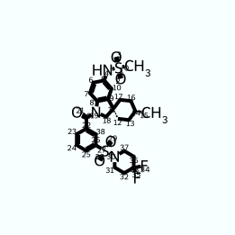 CS(=O)(=O)Nc1ccc2c(c1)[C@]1(CC[C@H](C)CC1)CN2C(=O)c1cccc(S(=O)(=O)N2CCC(F)(F)CC2)c1